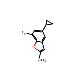 CCOC(=O)c1cc2cc(C3CC3)cc(C(F)(F)F)c2o1